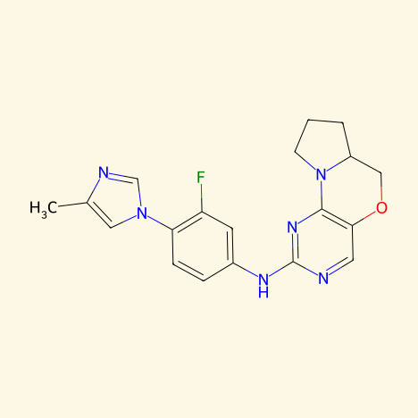 Cc1cn(-c2ccc(Nc3ncc4c(n3)N3CCCC3CO4)cc2F)cn1